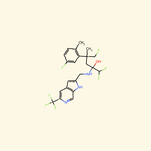 Cc1ccc(F)cc1C(C)(CF)CC(O)(NCc1cc2cc(C(F)(F)F)ncc2[nH]1)C(F)F